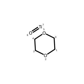 C1COCCO1.[O]=[Ti]